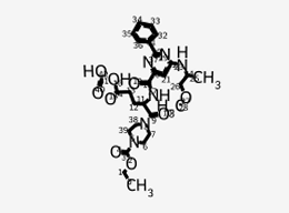 CCOC(=O)N1CCN(C(=O)C(CCC(=O)O)NC(=O)c2cc(NC(C)COC)nc(-c3ccccc3)n2)CC1.O=CO